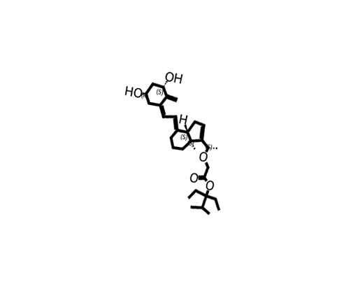 C=C1C(=CC=C2CCC[C@]3(C)C([C@H](C)OCC(=O)OC(CC)(CC)C(C)C)=CC[C@@H]23)C[C@@H](O)C[C@@H]1O